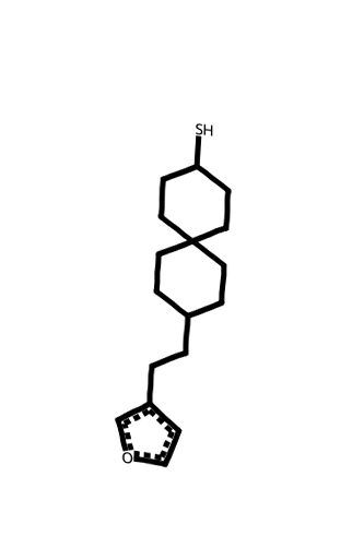 SC1CCC2(CC1)CCC(CCc1ccoc1)CC2